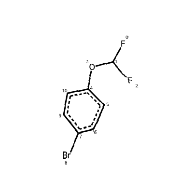 FC(F)Oc1c[c]c(Br)cc1